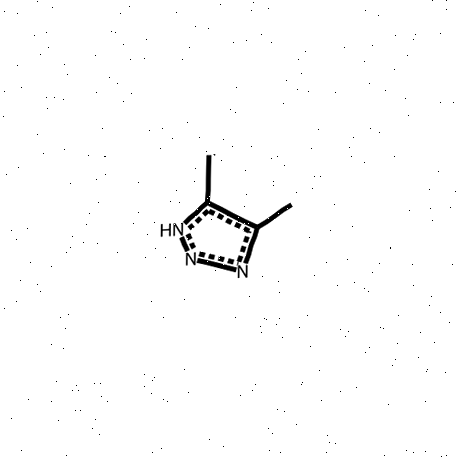 [CH2]c1[nH]nnc1C